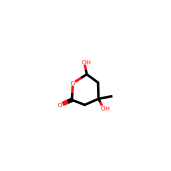 CC1(O)CC(=O)OC(O)C1